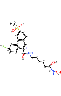 CS(=O)(=O)c1ccc(/C=C(/C(=O)NCCCCCC(=O)NO)c2ccc(F)cc2)cc1